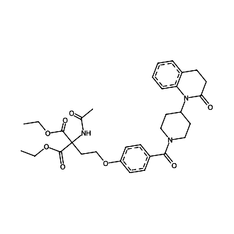 CCOC(=O)C(CCOc1ccc(C(=O)N2CCC(N3C(=O)CCc4ccccc43)CC2)cc1)(NC(C)=O)C(=O)OCC